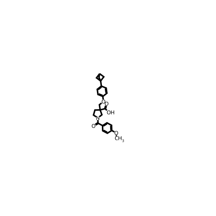 COc1ccc(C(=O)N2CCC(COc3ccc(C45CC(C4)C5)cc3)(C(=O)O)C2)cc1